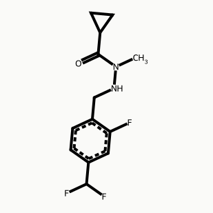 CN(NCc1ccc(C(F)F)cc1F)C(=O)C1CC1